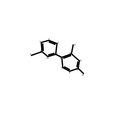 Cc1cc[c]c(-c2ccc(C)cc2C)c1